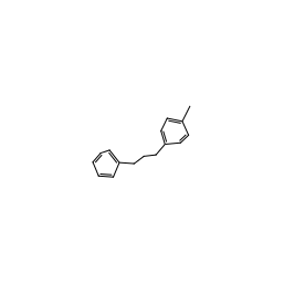 Cc1ccc(CCCc2ccccc2)cc1